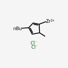 CCCCC1=CC(C)[C]([Zr+2])=C1.[Cl-].[Cl-]